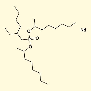 CCCCCCC(C)OP(=O)(CC(CC)CCCC)OC(C)CCCCCC.[Nd]